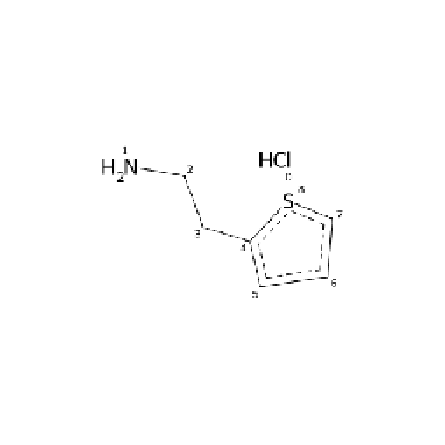 Cl.NCCc1cccs1